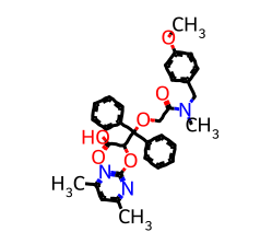 COc1ccc(CN(C)C(=O)COC(c2ccccc2)(c2ccccc2)C(Oc2nc(C)cc(C)n2)C(=O)O)cc1